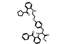 COC(=O)C(Cc1ccc(OCCNc2ccccc2C(=O)C2CCCC2)cc1)Nc1ccccc1C(=O)c1ccccc1